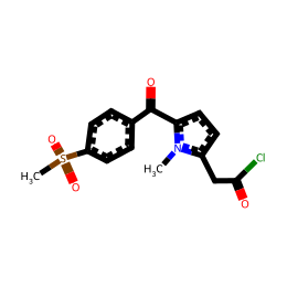 Cn1c(CC(=O)Cl)ccc1C(=O)c1ccc(S(C)(=O)=O)cc1